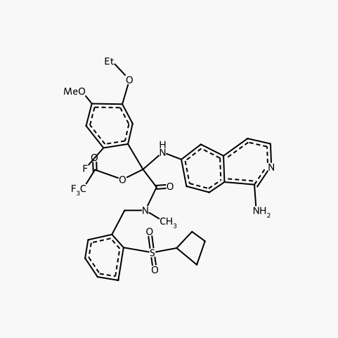 CCOc1cc(C(Nc2ccc3c(N)nccc3c2)(OC(=O)C(F)(F)F)C(=O)N(C)Cc2ccccc2S(=O)(=O)C2CCC2)c(F)cc1OC